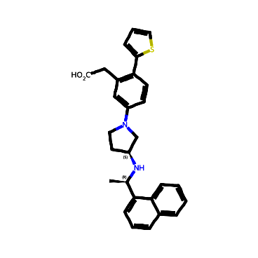 C[C@@H](N[C@H]1CCN(c2ccc(-c3cccs3)c(CC(=O)O)c2)C1)c1cccc2ccccc12